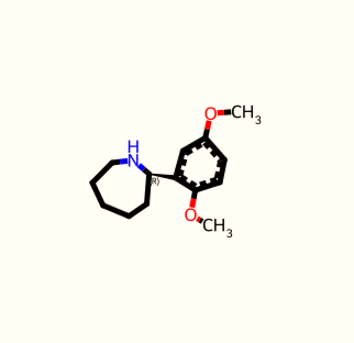 COc1ccc(OC)c([C@H]2CCCCCN2)c1